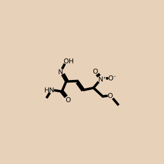 CNC(=O)C(/C=C/C(COC)[N+](=O)[O-])=N/O